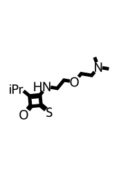 CC(C)c1c(NCCOCCN(C)C)c(=S)c1=O